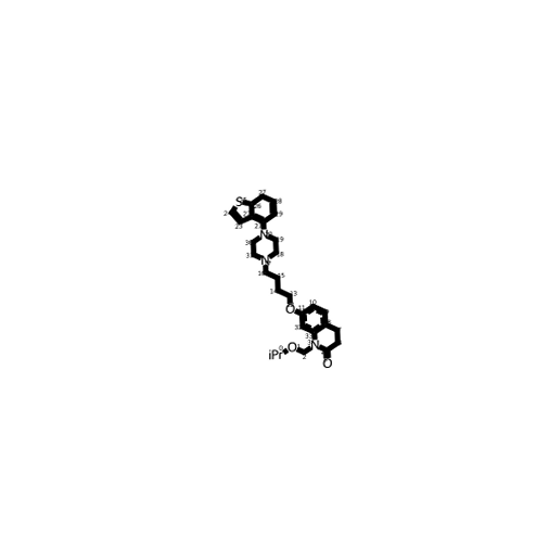 CC(C)OCN1C(=O)CCc2ccc(OCCCCN3CCN(C4=C5C=CSC5CC=C4)CC3)cc21